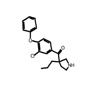 CCCC1(C(=O)c2ccc(Oc3ccccc3)c(Cl)c2)CCNC1